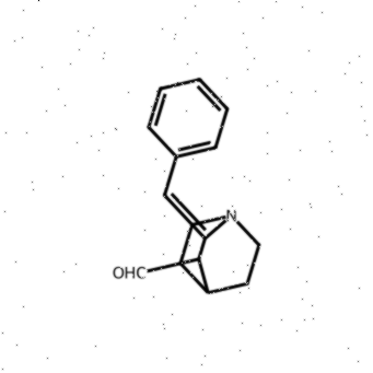 O=CC1/C(=C/c2ccccc2)N2CCC1CC2